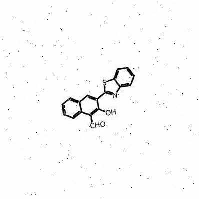 O=Cc1c(O)c(-c2nc3ccccc3s2)cc2ccccc12